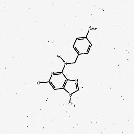 COc1ccc(CN(C(C)=O)c2nc(Cl)cc3c2ncn3C)cc1